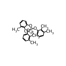 Cc1cccc(OP(=S)(Oc2cccc(C)c2C)Oc2cccc(C)c2C)c1C